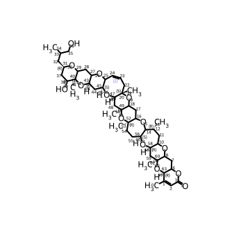 CC1=CC(=O)OC2CC3OC4C[C@@H](C)C5OC6CC7O[C@@]8(C)C/C=C\C9OC%10CC%11O[C@H](CC(C)CO)C[C@H](O)[C@]%11(C)O[C@@H]%10C[C@@H]9O[C@@H]8C[C@]7(C)O[C@]6(C)CC[C@@H]5O[C@@H]4C[C@]3(C)O[C@H]12